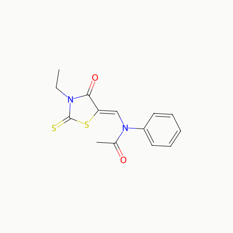 CCN1C(=O)/C(=C/N(C(C)=O)c2ccccc2)SC1=S